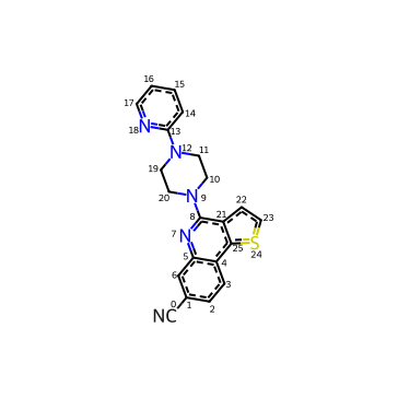 N#Cc1ccc2c(c1)nc(N1CCN(c3ccccn3)CC1)c1ccsc12